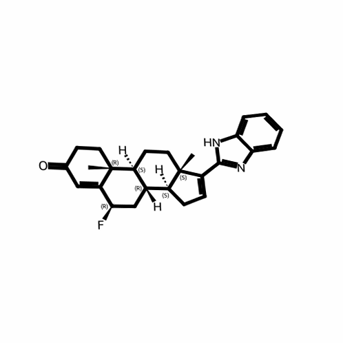 C[C@]12CCC(=O)C=C1[C@H](F)C[C@@H]1[C@@H]2CC[C@]2(C)C(c3nc4ccccc4[nH]3)=CC[C@@H]12